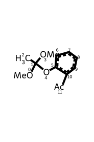 COC(C)(OC)Oc1ccccc1C(C)=O